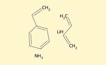 C=CC=C.C=Cc1ccccc1.N.[LiH]